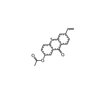 C=Cc1ccc2c(=O)c3cc(OC(C)=O)ccc3sc2c1